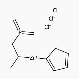 C=P(=C)C[CH](C)[Zr+3][C]1=CC=CC1.[Cl-].[Cl-].[Cl-]